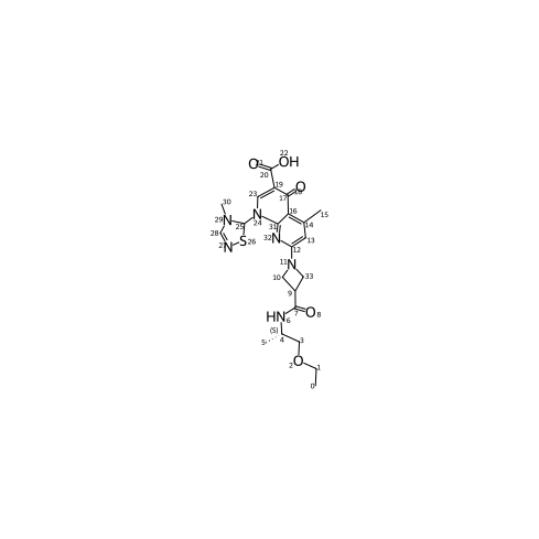 CCOC[C@H](C)NC(=O)C1CN(c2cc(C)c3c(=O)c(C(=O)O)cn(C4SN=CN4C)c3n2)C1